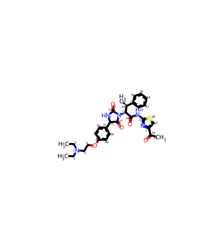 CCN(CC)CCOc1ccc(C2NC(=O)N([C@H](C(=O)Nc3nc(C(C)=O)cs3)[C@@H](C)c3ccccc3)C2=O)cc1